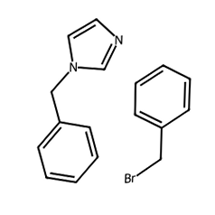 BrCc1ccccc1.c1ccc(Cn2ccnc2)cc1